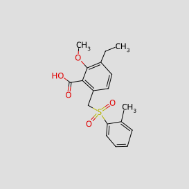 CCc1ccc(CS(=O)(=O)c2ccccc2C)c(C(=O)O)c1OC